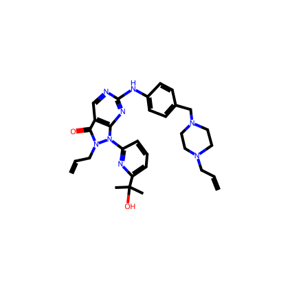 C=CCN1CCN(Cc2ccc(Nc3ncc4c(=O)n(CC=C)n(-c5cccc(C(C)(C)O)n5)c4n3)cc2)CC1